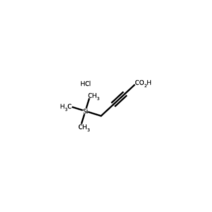 C[Si](C)(C)CC#CC(=O)O.Cl